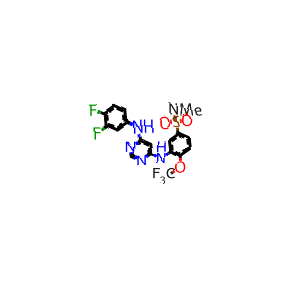 CNS(=O)(=O)c1ccc(OC(F)(F)F)c(Nc2cc(Nc3ccc(F)c(F)c3)ncn2)c1